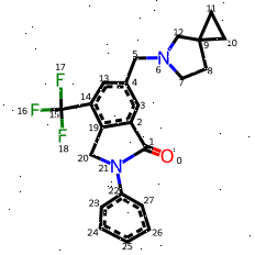 O=C1c2cc(CN3CCC4(CC4)C3)cc(C(F)(F)F)c2CN1c1ccccc1